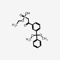 CCOP(=O)(O)CC(=O)c1cccc(C(OC)(OC)c2ccccc2)c1